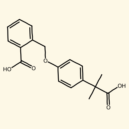 CC(C)(C(=O)O)c1ccc(OCc2ccccc2C(=O)O)cc1